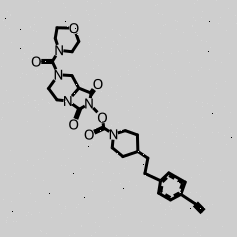 C#Cc1ccc(CCC2CCN(C(=O)ON3C(=O)C4CN(C(=O)N5CCOCC5)CCN4C3=O)CC2)cc1